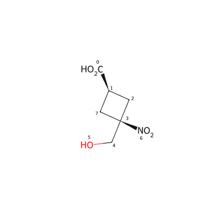 O=C(O)[C@H]1C[C@@](CO)([N+](=O)[O-])C1